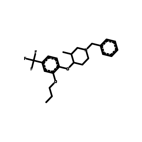 CCCOc1cc(C(F)(F)F)ccc1OC1CCN(Cc2ccccc2)CC1C